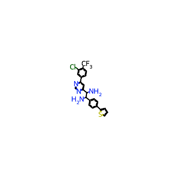 NC(c1ccc(-c2cccs2)cc1)C(N)c1cc(-c2ccc(C(F)(F)F)c(Cl)c2)ncn1